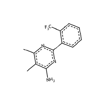 Cc1nc(-c2ccccc2C(F)(F)F)nc(N)c1C